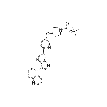 CC(C)(C)OC(=O)N1CCC(Oc2ccc(-c3cnc4c(-c5cccc6ncccc56)cnn4c3)nc2)CC1